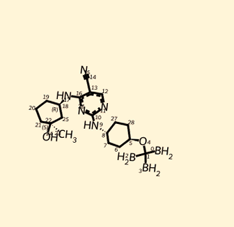 BC(B)(B)O[C@H]1CC[C@H](Nc2ncc(C#N)c(N[C@@H]3CCC[C@](C)(O)C3)n2)CC1